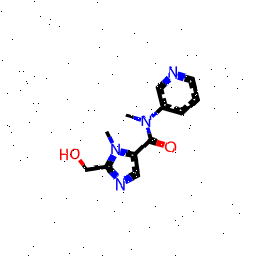 CN(C(=O)c1cnc(CO)n1C)c1cccnc1